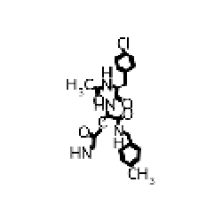 CC(=O)N[C@@H](Cc1ccc(Cl)cc1)C(=O)N[C@@H](CCC(=O)C=N)C(=O)NCc1ccc(C)cc1